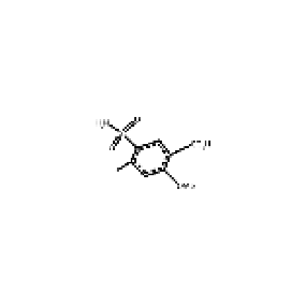 COc1cc(C)c(S(N)(=O)=O)cc1C(=O)O